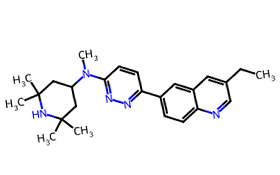 CCc1cnc2ccc(-c3ccc(N(C)C4CC(C)(C)NC(C)(C)C4)nn3)cc2c1